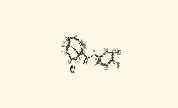 Fc1ccc(CNc2ncnc3ccc(Cl)cc23)cc1F